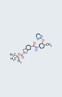 Cc1ccc(NC(=O)c2ccc3c(c2)CN(C(=O)OC(C)(C)C)C3)cc1Oc1ncccn1